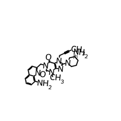 CC#CCn1c(N2CCC[C@@H](N)C2)nc2c1c(=O)n(Cc1ccc3cccc(N)c3n1)c(=O)n2C